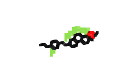 CCCc1ccc(CCc2ccc3c(c2F)C(F)(F)C(F)(F)C2=C(F)C(C)(OCC)CC=C23)cc1F